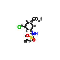 CCCS(=O)(=O)Nc1cc(Cl)cc(C(=O)O)c1